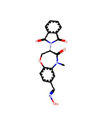 CN1C(=O)[C@@H](N2C(=O)c3ccccc3C2=O)COc2ccc(C=NO)cc21